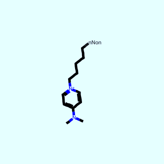 CCCCCCCCCCCCCC[n+]1ccc(N(C)C)cc1